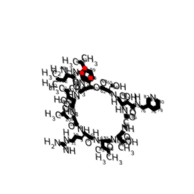 CC[C@H](C)[C@@H]1NC(=O)[C@@H](CCCNC(=N)N)NC(=O)[C@H](CC(C)C)NC(=O)[C@H]([C@H](O)C(C)C)NC(=O)[C@@H](NC(=O)[C@H](CC(C)C)NC(=O)[C@H](N)CC(C)C)[C@@H](c2ccccc2)OC(=O)[C@H](CO)NC(=O)[C@H]([C@H](O)C(=O)NCc2cccnc2)NC(=O)CNC(=O)[C@H]([C@H](C)O)NC1=O